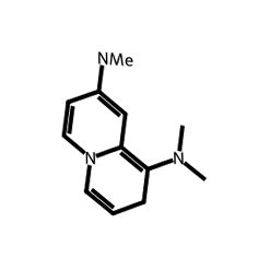 CNC1=CC2=C(N(C)C)CC=CN2C=C1